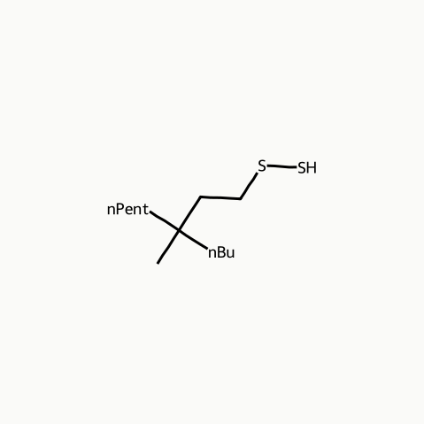 CCCCCC(C)(CCCC)CCSS